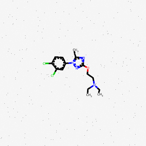 CCN(CC)CCOc1nc(C)n(-c2ccc(Cl)c(Cl)c2)n1